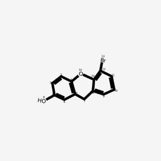 Oc1ccc2c(c1)Cc1cccc(Br)c1O2